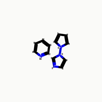 c1ccn(-n2ccnc2)c1.c1ccncc1